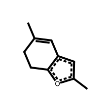 CC1=Cc2cc(C)oc2CC1